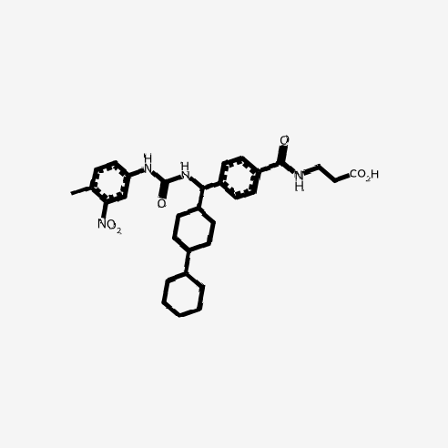 Cc1ccc(NC(=O)NC(c2ccc(C(=O)NCCC(=O)O)cc2)C2CCC(C3CCCCC3)CC2)cc1[N+](=O)[O-]